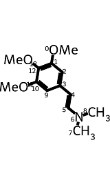 COc1cc(C=CN(C)C)cc(OC)c1OC